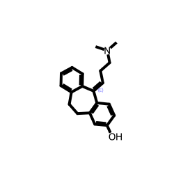 CN(C)CC/C=C1\c2ccccc2CCc2cc(O)ccc21